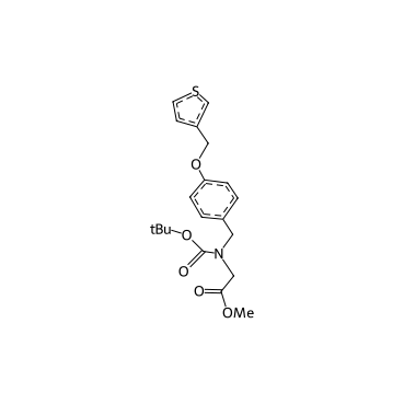 COC(=O)CN(Cc1ccc(OCc2ccsc2)cc1)C(=O)OC(C)(C)C